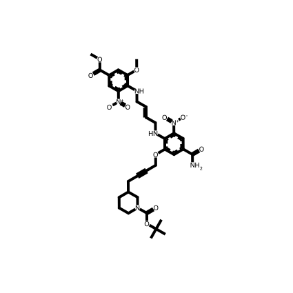 COC(=O)c1cc(OC)c(NC/C=C/CNc2c(OCC#CCC3CCCN(C(=O)OC(C)(C)C)C3)cc(C(N)=O)cc2[N+](=O)[O-])c([N+](=O)[O-])c1